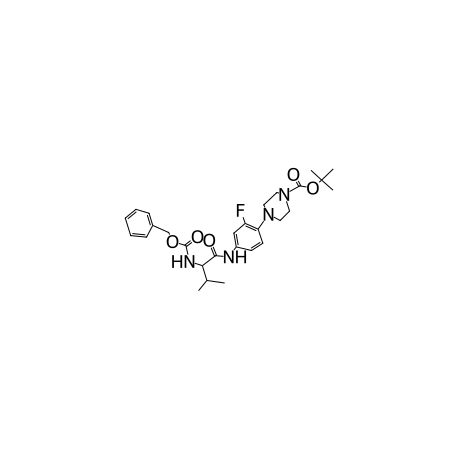 CC(C)C(NC(=O)OCc1ccccc1)C(=O)Nc1ccc(N2CCN(C(=O)OC(C)(C)C)CC2)c(F)c1